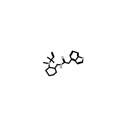 C=CC(C)(C)N(C)C1CCCCC1CNC(=O)Cc1cccc2sccc12